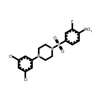 O=[N+]([O-])c1ccc(S(=O)(=O)N2CCN(c3cc(Cl)cc(Cl)c3)CC2)cc1F